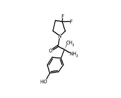 C[C@@](N)(C(=O)N1CCC(F)(F)C1)c1ccc(O)cc1